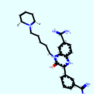 C[C@@H]1CCC[C@H](C)N1CCCCCn1c(=O)c(-c2cccc(C(=N)N)c2)nc2ccc(C(=N)N)cc21